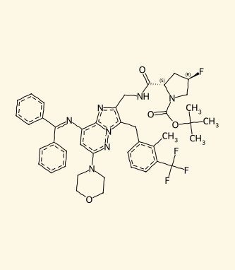 Cc1c(Cc2c(CNC(=O)[C@@H]3C[C@@H](F)CN3C(=O)OC(C)(C)C)nc3c(N=C(c4ccccc4)c4ccccc4)cc(N4CCOCC4)nn23)cccc1C(F)(F)F